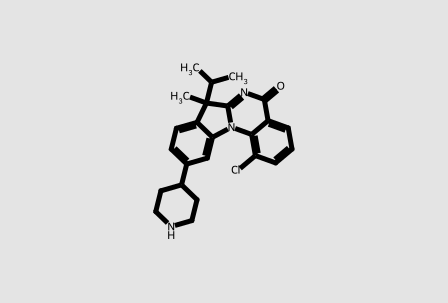 CC(C)C1(C)c2ccc(C3CCNCC3)cc2-n2c1nc(=O)c1cccc(Cl)c12